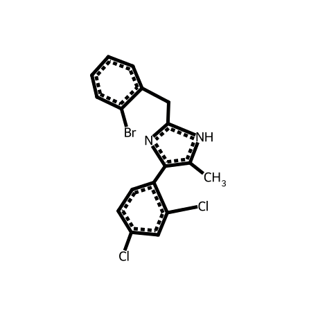 Cc1[nH]c(Cc2ccccc2Br)nc1-c1ccc(Cl)cc1Cl